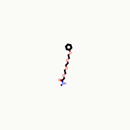 CNC(=O)COCCOCCOCCOc1ccccc1